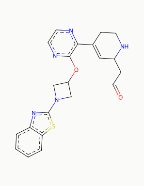 O=CCC1C=C(c2nccnc2OC2CN(c3nc4ccccc4s3)C2)CCN1